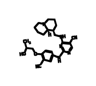 CC(O)COc1ccc(Nc2ncc(C#N)c(NC[C@@H]3CCCN4CCCC[C@H]34)n2)cc1C#N